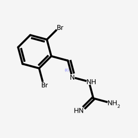 N=C(N)N/N=C/c1c(Br)cccc1Br